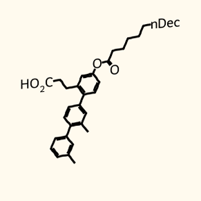 CCCCCCCCCCCCCCCC(=O)Oc1ccc(-c2ccc(-c3cccc(C)c3)c(C)c2)c(CCC(=O)O)c1